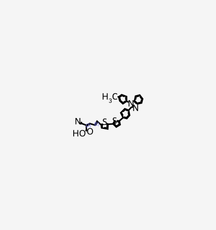 Cc1ccc(-n2c(-c3ccc(-c4ccc(-c5ccc(/C=C/C=C(/C#N)C(=O)O)s5)s4)cc3)nc3ccccc32)cc1